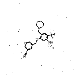 CNc1cc(OCc2cncc(C#N)c2)c(CN2CCCCC2)cc1C(F)(F)F